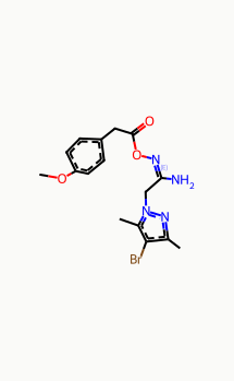 COc1ccc(CC(=O)O/N=C(/N)Cn2nc(C)c(Br)c2C)cc1